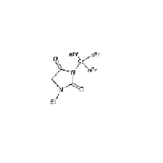 CCC[Si](CCC)(CCC)N1C(=O)CN(CC)C1=O